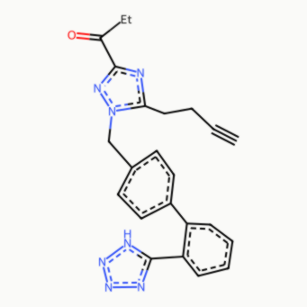 C#CCCc1nc(C(=O)CC)nn1Cc1ccc(-c2ccccc2-c2nnn[nH]2)cc1